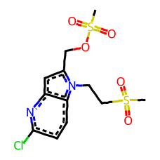 CS(=O)(=O)CCn1c(COS(C)(=O)=O)cc2nc(Cl)ccc21